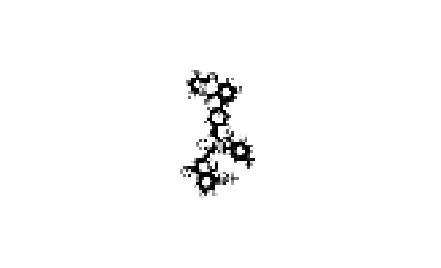 O=C(N[C@@H](C=C1CCC(c2ccccc2CN2CCCC2=O)CC1)Cc1ccc(Cl)cc1)c1cc(=O)c2cccc(O)c2o1